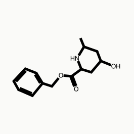 CC1CC(O)CC(C(=O)OCc2ccccc2)N1